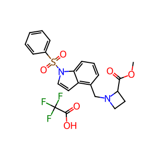 COC(=O)C1CCN1Cc1cccc2c1ccn2S(=O)(=O)c1ccccc1.O=C(O)C(F)(F)F